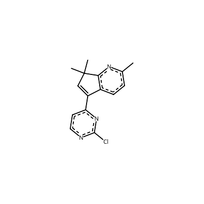 Cc1ccc2c(n1)C(C)(C)C=C2c1ccnc(Cl)n1